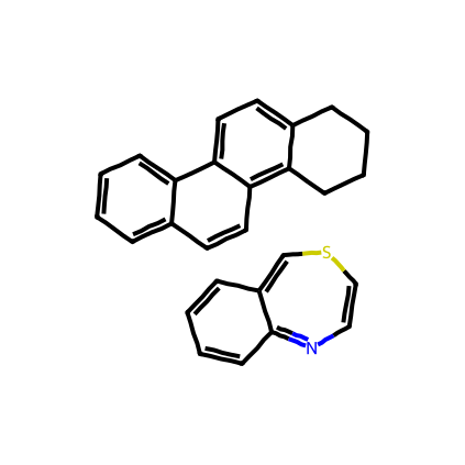 C1=CSC=c2ccccc2=N1.c1ccc2c(c1)ccc1c3c(ccc12)CCCC3